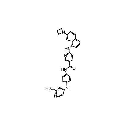 Cc1cc(Nc2ccc(NC(=O)c3ccc(Nc4ccnc5ccc(N6CCC6)cc45)nc3)cc2)ccn1